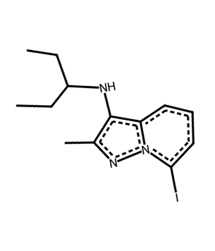 CCC(CC)Nc1c(C)nn2c(I)cccc12